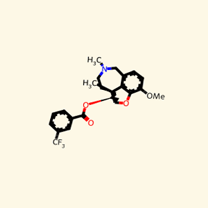 COc1ccc2c3c1OC1C[C@@H](OC(=O)c4cccc(C(F)(F)F)c4)C(C)[C@@]31CCN(C)C2